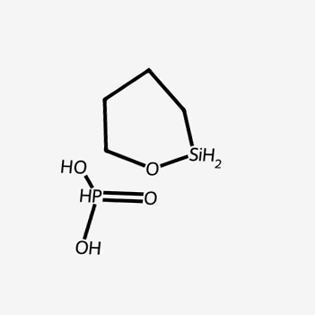 C1CC[SiH2]OC1.O=[PH](O)O